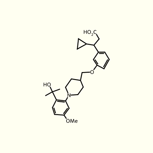 COc1ccc(C(C)(C)O)c(N2CCC(COc3cccc(C(CC(=O)O)C4CC4)c3)CC2)c1